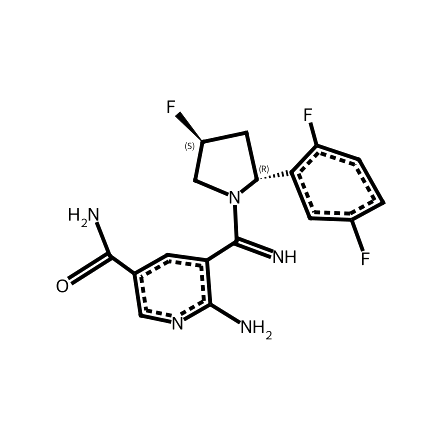 N=C(c1cc(C(N)=O)cnc1N)N1C[C@@H](F)C[C@@H]1c1cc(F)ccc1F